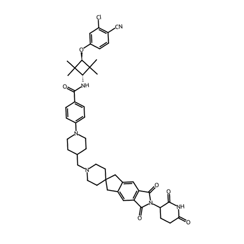 CC1(C)[C@H](NC(=O)c2ccc(N3CCC(CN4CCC5(CC4)Cc4cc6c(cc4C5)C(=O)N(C4CCC(=O)NC4=O)C6=O)CC3)cc2)C(C)(C)[C@H]1Oc1ccc(C#N)c(Cl)c1